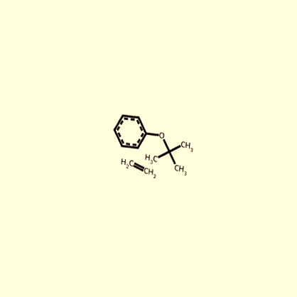 C=C.CC(C)(C)Oc1ccccc1